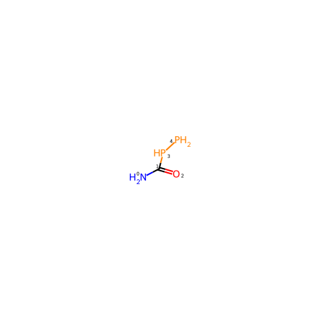 NC(=O)PP